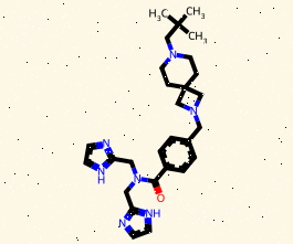 CC(C)(C)CN1CCC2(CC1)CN(Cc1ccc(C(=O)N(Cc3ncc[nH]3)Cc3ncc[nH]3)cc1)C2